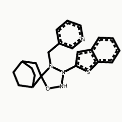 c1cncc(CN2N(c3cc4ccccc4s3)NOC23CC2CCC3CC2)c1